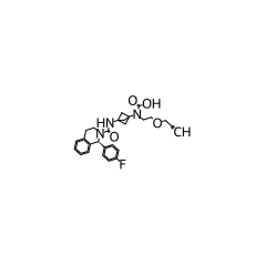 C#CCOCCN(C(=O)O)C12CC(NC(=O)N3CCc4ccccc4[C@@H]3c3ccc(F)cc3)(C1)C2